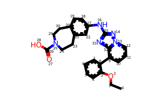 CCOc1ccccc1-c1cccn2nc(Nc3ccc4c(c3)CCN(C(=O)O)CC4)nc12